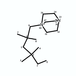 CCC(C)(C)CC(C)(C)C[N+]12CCN(CC1)CC2